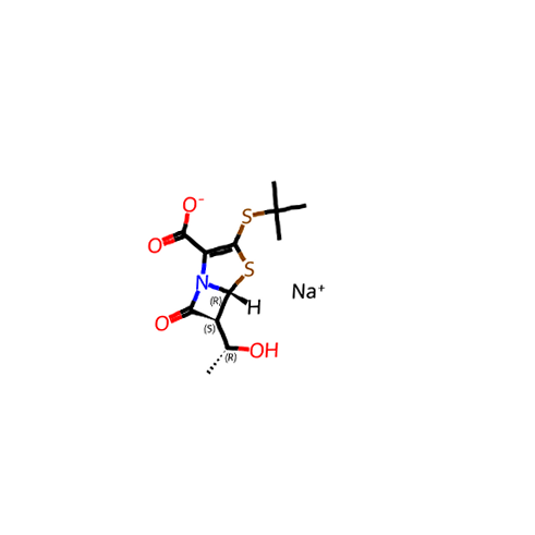 C[C@@H](O)[C@H]1C(=O)N2C(C(=O)[O-])=C(SC(C)(C)C)S[C@H]12.[Na+]